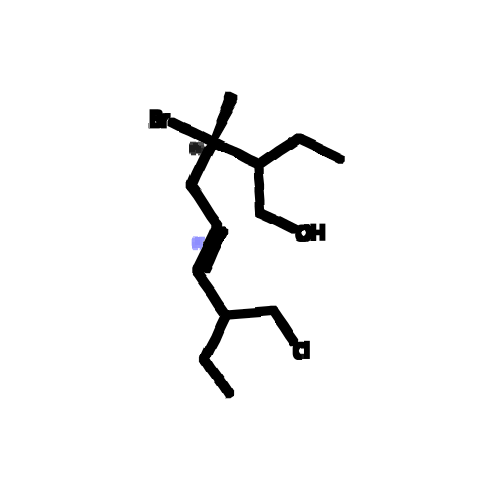 CCC(/C=C/C[C@](C)(Br)C(CC)CO)CCl